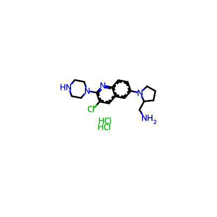 Cl.Cl.NCC1CCCN1c1ccc2nc(N3CCNCC3)c(Cl)cc2c1